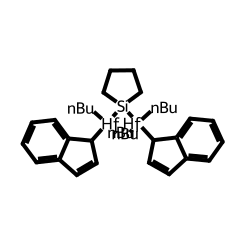 CCC[CH2][Hf]([CH2]CCC)([CH]1C=Cc2ccccc21)[Si]1([Hf]([CH2]CCC)([CH2]CCC)[CH]2C=Cc3ccccc32)CCCC1